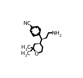 CC1(C)C[C@@H]([C@H](CCN)c2ccc(C#N)cc2)CCO1